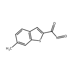 Cc1ccc2cc(C(=O)N=O)sc2c1